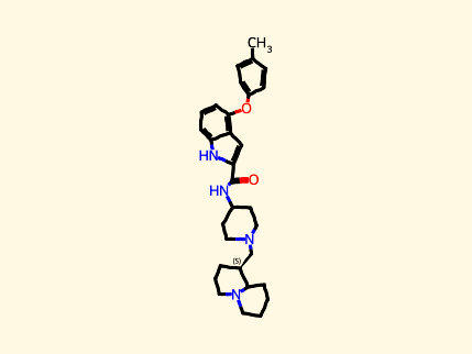 Cc1ccc(Oc2cccc3[nH]c(C(=O)NC4CCN(C[C@@H]5CCCN6CCCCC56)CC4)cc23)cc1